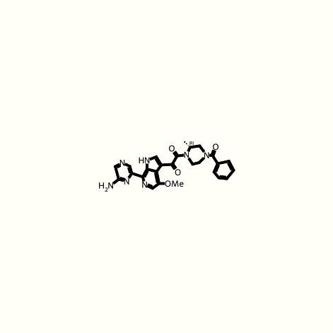 COc1cnc(-c2cncc(N)n2)c2[nH]cc(C(=O)C(=O)N3CCN(C(=O)c4ccccc4)C[C@H]3C)c12